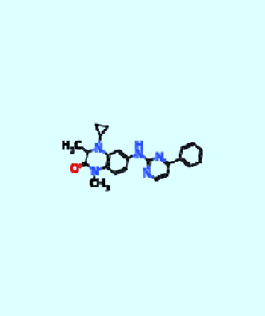 CC1C(=O)N(C)c2ccc(Nc3nccc(-c4ccccc4)n3)cc2N1C1CC1